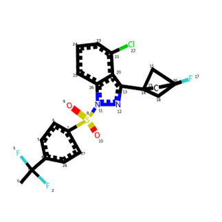 CC(F)(F)c1ccc(S(=O)(=O)n2nc(C34CC(F)(C3)C4)c3c(Cl)cccc32)cc1